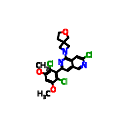 COc1cc(OC)c(Cl)c(-c2cc3cnc(Cl)cc3c(N3CC4(CCOC4)C3)n2)c1Cl